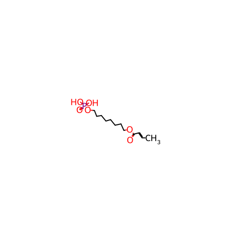 CC=CC(=O)OCCCCCCCCOP(=O)(O)O